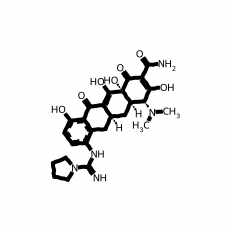 CN(C)[C@H]1C(O)=C(C(N)=O)C(=O)[C@]2(O)C(O)=C3C(=O)c4c(O)ccc(NC(=N)N5CCCC5)c4C[C@@H]3C[C@H]12